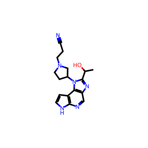 CC(O)c1nc2cnc3[nH]ccc3c2n1C1CCN(CCC#N)C1